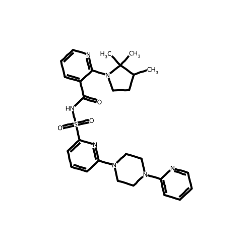 CC1CCN(c2ncccc2C(=O)NS(=O)(=O)c2cccc(N3CCN(c4ccccn4)CC3)n2)C1(C)C